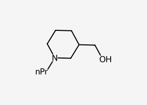 CCCN1CCCC(CO)C1